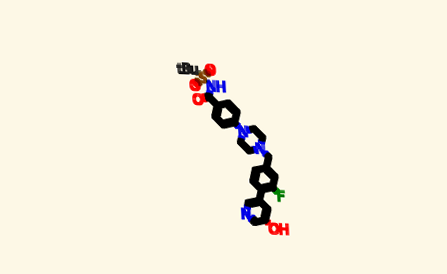 CC(C)(C)S(=O)(=O)NC(=O)c1ccc(N2CCN(Cc3ccc(-c4cncc(O)c4)c(F)c3)CC2)cc1